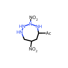 CC(=O)C1CC([N+](=O)[O-])CNNN([N+](=O)[O-])N1